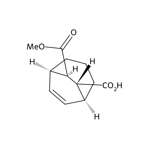 COC(=O)[C@H]1[C@H](C(=O)O)[C@@H]2C=C[C@H]1CCC2